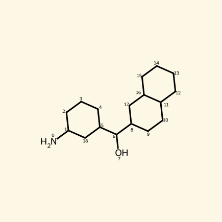 NC1CCCC(C(O)C2CCC3CCCCC3C2)C1